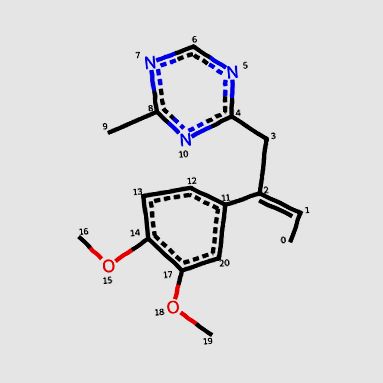 CC=C(Cc1ncnc(C)n1)c1ccc(OC)c(OC)c1